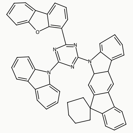 C1=C2C(=CC3C1c1ccccc1N3c1nc(-c3cccc4c3oc3ccccc34)nc(-n3c4ccccc4c4ccccc43)n1)C1(CCCCC1)c1ccccc12